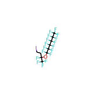 FC(F)(F)C(F)(CCI)OC(F)(F)C(F)(F)C(F)(F)C(F)(F)C(F)(F)C(F)(F)F